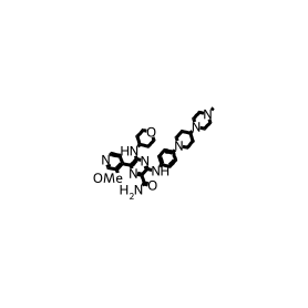 COc1cnccc1-c1nc(C(N)=O)c(Nc2ccc(N3CCC(N4CCN(C)CC4)CC3)cc2)nc1NC1CCOCC1